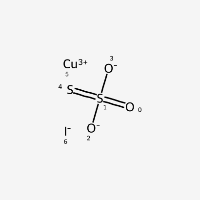 O=S([O-])([O-])=S.[Cu+3].[I-]